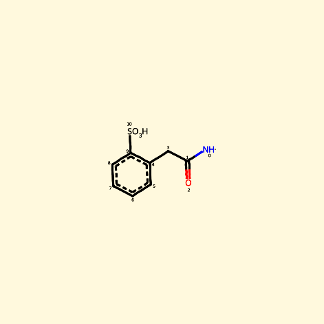 [NH]C(=O)Cc1ccccc1S(=O)(=O)O